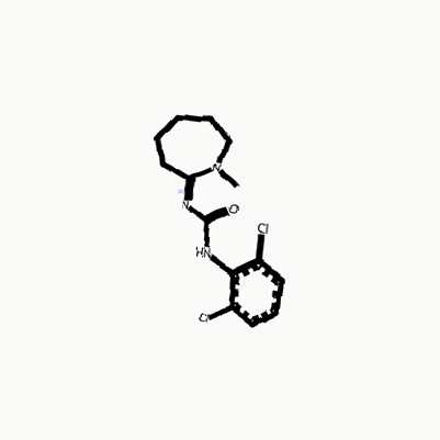 CN1CCCCC/C1=N/C(=O)Nc1c(Cl)cccc1Cl